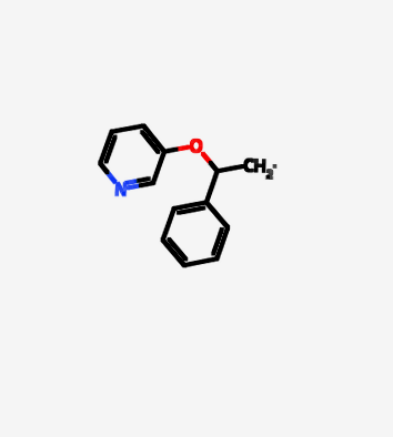 [CH2]C(Oc1cccnc1)c1ccccc1